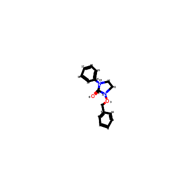 O=C1N(OCc2ccccc2)CCN1c1ccccc1